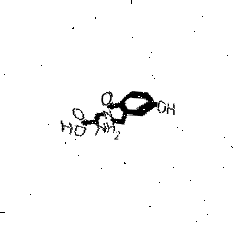 NC(CN1CCc2cc(O)ccc2C1=O)C(=O)O